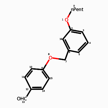 CCCCCOc1cccc(COc2ccc(C=O)cc2)c1